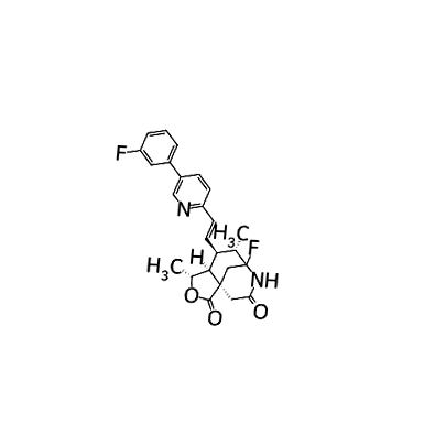 C[C@H]1OC(=O)[C@]23CC(=O)NC(F)(C2)[C@@H](C)[C@H](/C=C/c2ccc(-c4cccc(F)c4)cn2)[C@H]13